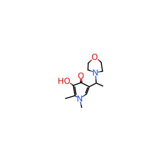 Cc1c(O)c(=O)c(C(C)N2CCOCC2)cn1C